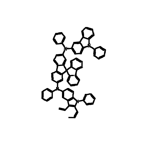 C=Cc1c(/C=C\C)n(-c2ccccc2)c2ccc(N(c3ccccc3)c3ccc4c(c3)C3(c5ccccc5-c5ccccc53)c3cc(N(c5ccccc5)c5ccc6c(c5)c5ccccc5n6-c5ccccc5)ccc3-4)cc12